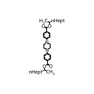 CCCCCCC[C@H](C)OC(=O)c1ccc(N2CCN(c3ccc(C(=O)O[C@@H](C)CCCCCCC)cc3)CC2)cc1